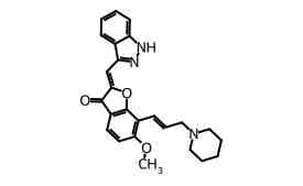 COc1ccc2c(c1C=CCN1CCCCC1)OC(=Cc1n[nH]c3ccccc13)C2=O